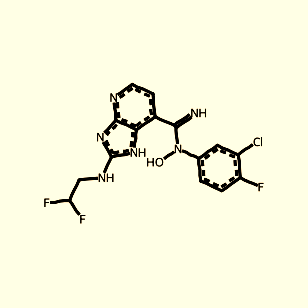 N=C(c1ccnc2nc(NCC(F)F)[nH]c12)N(O)c1ccc(F)c(Cl)c1